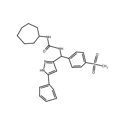 CS(=O)(=O)c1ccc(C(NC(=O)NC2CCCCCC2)c2cc(-c3ccccc3)[nH]n2)cc1